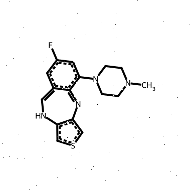 CN1CCN(c2cc(F)cc3c2=Nc2cscc2NC=3)CC1